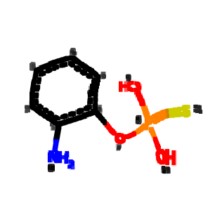 Nc1ccccc1OP(O)(O)=S